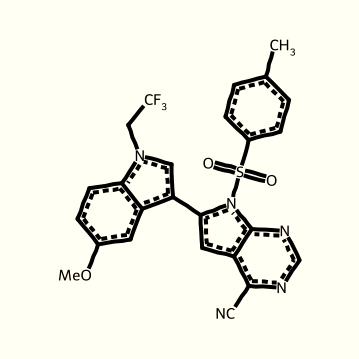 COc1ccc2c(c1)c(-c1cc3c(C#N)ncnc3n1S(=O)(=O)c1ccc(C)cc1)cn2CC(F)(F)F